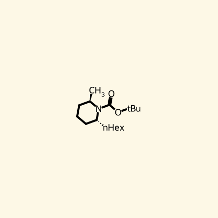 CCCCCC[C@@H]1CCC[C@@H](C)N1C(=O)OC(C)(C)C